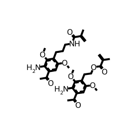 C=C(C)C(=O)NCCCc1c(OC)cc(C(C)=O)c(N)c1OC.C=C(C)C(=O)OCCc1c(OC)cc(C(C)=O)c(N)c1OC